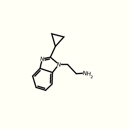 NCCn1c(C2CC2)nc2ccccc21